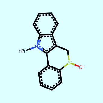 CCCn1c2c(c3ccccc31)C[S+]([O-])c1ccccc1-2